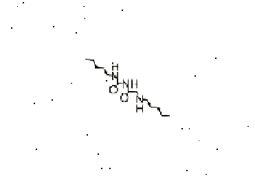 CCCCCNCC(=O)NC(=O)NCCCCC